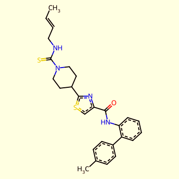 C/C=C/CNC(=S)N1CCC(c2nc(C(=O)Nc3ccccc3-c3ccc(C)cc3)cs2)CC1